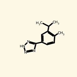 Cc1ccc(-c2nn[nH]n2)cc1C(C)C